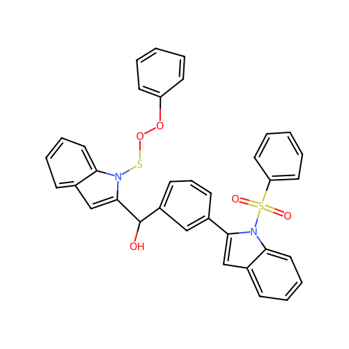 O=S(=O)(c1ccccc1)n1c(-c2cccc(C(O)c3cc4ccccc4n3SOOc3ccccc3)c2)cc2ccccc21